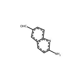 Nc1ccc2cc(C=O)ccc2n1